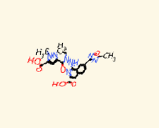 CCN(Nc1nccc2ccc(-c3noc(C)n3)cc12)C(=O)c1cc(C(=O)O)n(C)n1.O=CO